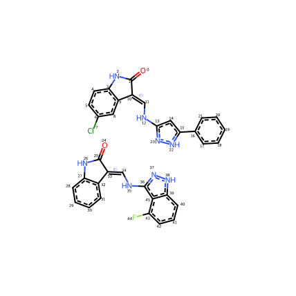 O=C1Nc2ccc(Cl)cc2/C1=C\Nc1cc(-c2ccccc2)[nH]n1.O=C1Nc2ccccc2/C1=C\Nc1n[nH]c2cccc(F)c12